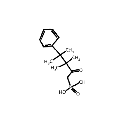 CC(C)(C(=O)CP(=O)(O)O)C(C)(C)c1ccccc1